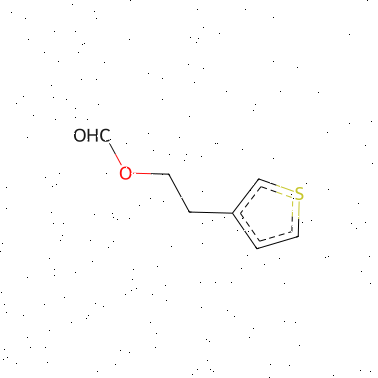 O=COCCc1ccsc1